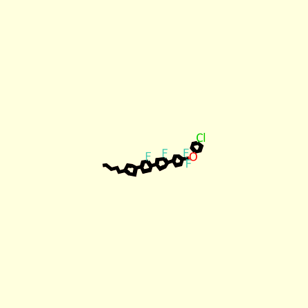 CCCCCc1ccc(-c2ccc(-c3ccc(-c4ccc(C(F)(F)Oc5ccc(Cl)cc5)cc4)c(F)c3)c(F)c2)cc1